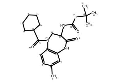 Cc1ccc2c(c1)NC(=O)C(NC(=O)OC(C)(C)C)CN2C(=O)C1CCCCC1